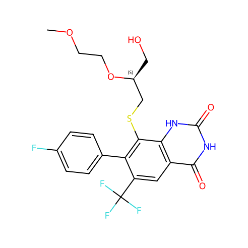 COCCO[C@@H](CO)CSc1c(-c2ccc(F)cc2)c(C(F)(F)F)cc2c(=O)[nH]c(=O)[nH]c12